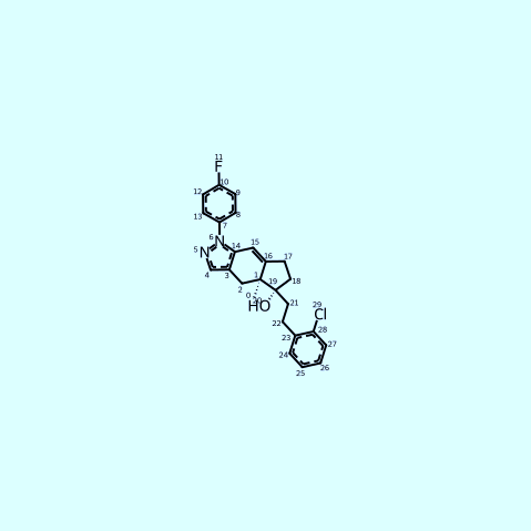 C[C@]12Cc3cnn(-c4ccc(F)cc4)c3C=C1CC[C@@]2(O)CCc1ccccc1Cl